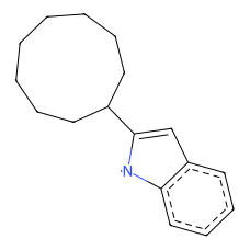 C1=C(C2CCCCCCCC2)[N]c2ccccc21